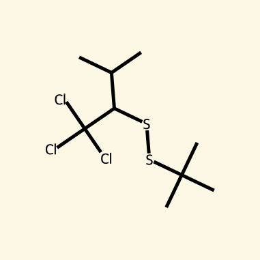 CC(C)C(SSC(C)(C)C)C(Cl)(Cl)Cl